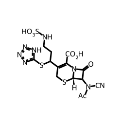 CC(=O)N(C#N)C1C(=O)N2C(C(=O)O)=C(C(CCNS(=O)(=O)O)Sc3nnn[nH]3)CS[C@@H]12